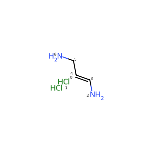 Cl.Cl.NC=CCN